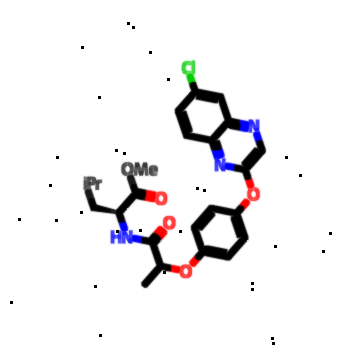 COC(=O)[C@H](CC(C)C)NC(=O)C(C)Oc1ccc(Oc2cnc3cc(Cl)ccc3n2)cc1